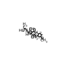 COc1ccc(Cn2c(=O)c3c(nc(NC[C@H](C)O)n3C)n(C)c2=O)cc1